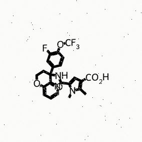 Cc1c(C(=O)O)cc(C(=O)NC2(c3ccc(OC(F)(F)F)c(F)c3)CCOc3cccnc32)n1C